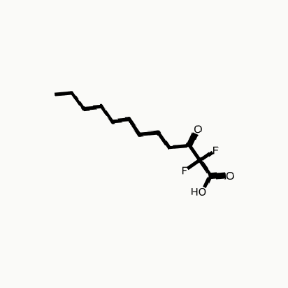 CCCCCCCCCC(=O)C(F)(F)C(=O)O